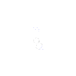 CN1CC(c2ccc3ccncc3c2)C=N1